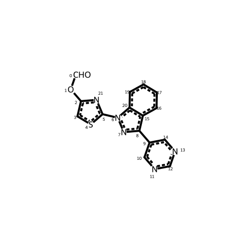 O=COc1csc(-n2nc(-c3cncnc3)c3ccccc32)n1